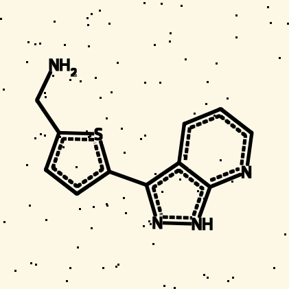 NCc1ccc(-c2n[nH]c3ncccc23)s1